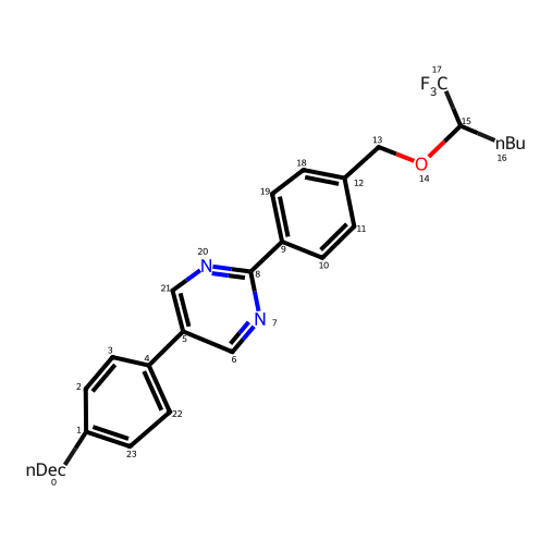 CCCCCCCCCCc1ccc(-c2cnc(-c3ccc(COC(CCCC)C(F)(F)F)cc3)nc2)cc1